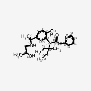 C=C(NCC(C)O)c1ccc(C)c(N(C(=O)Nc2ccccn2)C(C)(CC)CCC)n1